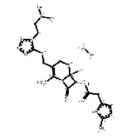 CN(C)CCn1nnnc1SCC1=C(C(=O)O)N2C(=O)[C@@H](NC(=O)Cc3csc(N)n3)[C@H]2SC1.CO